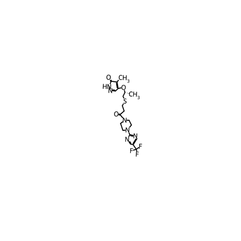 Cc1c(O[C@H](C)CSCCC(=O)N2CCN(c3ncc(C(F)(F)F)cn3)CC2)cn[nH]c1=O